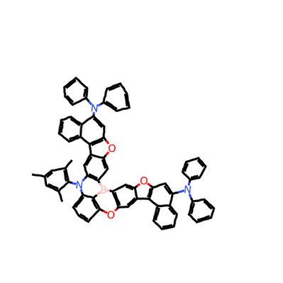 Cc1cc(C)c(N2c3cc4c(cc3B3c5cc6oc7cc(N(c8ccccc8)c8ccccc8)c8ccccc8c7c6cc5Oc5cccc2c53)oc2cc(N(c3ccccc3)c3ccccc3)c3ccccc3c24)c(C)c1